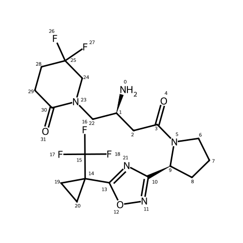 N[C@@H](CC(=O)N1CCC[C@H]1c1noc(C2(C(F)(F)F)CC2)n1)CN1CC(F)(F)CCC1=O